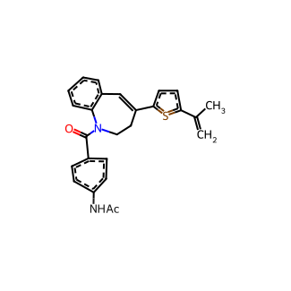 C=C(C)c1ccc(C2=Cc3ccccc3N(C(=O)c3ccc(NC(C)=O)cc3)CC2)s1